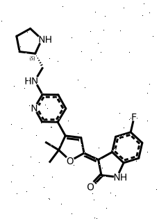 CC1(C)OC(=C2C(=O)Nc3ccc(F)cc32)C=C1c1ccc(NC[C@@H]2CCCN2)nc1